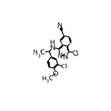 COc1ccc(C(C)Nc2nnc(Cl)c3ccc(C#N)cc23)cc1Cl